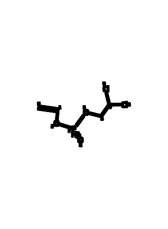 C=CO[PH](=O)OCC(Cl)Cl